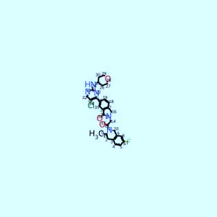 C[C@@H]1Cc2ccc(F)cc2CN1C(=O)CN1Cc2ccc(-c3nc(NC4CCOCC4)ncc3Cl)cc2C1=O